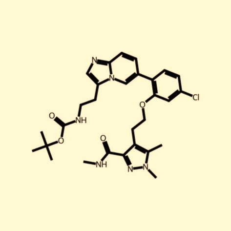 CNC(=O)c1nn(C)c(C)c1CCOc1cc(Cl)ccc1-c1ccc2ncc(CCNC(=O)OC(C)(C)C)n2c1